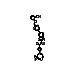 O=C(Nc1nc2ccc(-c3cnc(CO[C@H]4CCC[C@@H]4O)nc3)cc2s1)C1CC(N2CCOCC(F)(F)C2)C1